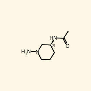 CC(=O)N[C@H]1CCCN(N)C1